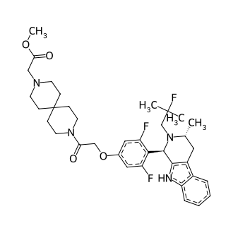 COC(=O)CN1CCC2(CC1)CCN(C(=O)COc1cc(F)c([C@@H]3c4[nH]c5ccccc5c4C[C@@H](C)N3CC(C)(C)F)c(F)c1)CC2